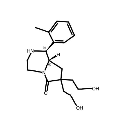 Cc1ccccc1[C@@H]1NCCN2C(=O)C(CCO)(CCO)C[C@@H]12